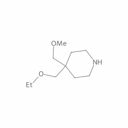 CCOCC1(COC)CCNCC1